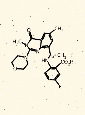 Cc1cc([C@H](C)Nc2ccc(F)cc2C(=O)O)c2nc(N3CCOCC3)n(C)c(=O)c2c1